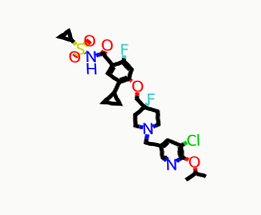 CC(C)Oc1ncc(CN2CCC(F)(COc3cc(F)c(C(=O)NS(=O)(=O)C4CC4)cc3C3CC3)CC2)cc1Cl